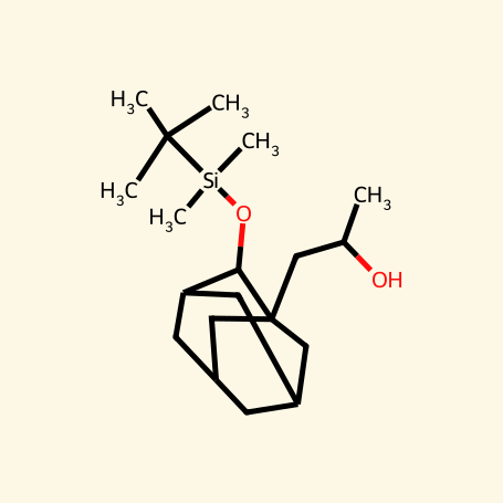 CC(O)CC12CC3CC(CC(C3)C1O[Si](C)(C)C(C)(C)C)C2